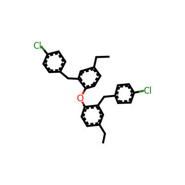 CCc1ccc(Oc2ccc(CC)cc2Cc2ccc(Cl)cc2)c(Cc2ccc(Cl)cc2)c1